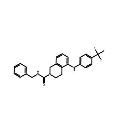 O=C(NCc1ccccn1)N1CCc2c(cccc2Nc2ccc(C(F)(F)F)cc2)C1